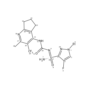 CCn1cc(F)c([S@@](N)(=O)=NC(=O)Nc2c3c(nc(C)c2C(F)(F)F)CCC3)n1